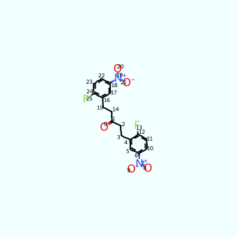 O=C(CCc1cc([N+](=O)[O-])ccc1F)CCc1cc([N+](=O)[O-])ccc1F